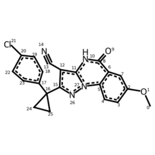 COc1ccc2c(c1)c(=O)[nH]c1c(C#N)c(C3(c4ccc(Cl)cc4)CC3)nn12